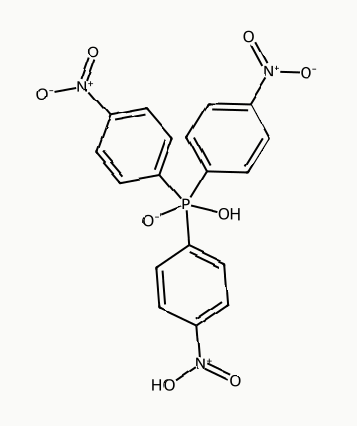 O=[N+]([O-])c1ccc(P([O-])(O)(c2ccc([N+](=O)[O-])cc2)c2ccc([N+](=O)O)cc2)cc1